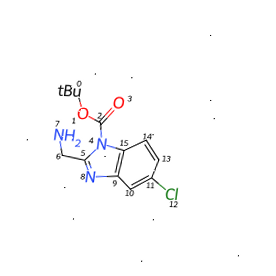 CC(C)(C)OC(=O)n1c(CN)nc2cc(Cl)ccc21